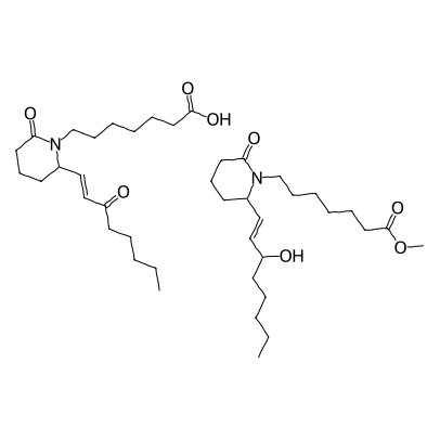 CCCCCC(=O)C=CC1CCCC(=O)N1CCCCCCC(=O)O.CCCCCC(O)C=CC1CCCC(=O)N1CCCCCCC(=O)OC